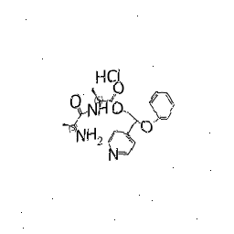 C[C@H](N)C(=O)N[C@@H](C)C(=O)OCC(Oc1ccccc1)c1ccncc1.Cl